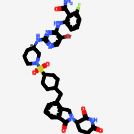 NC(=O)c1c(F)cccc1Nc1nc(N[C@@H]2CCCN(S(=O)(=O)C3CCC(Cc4cccc5c4CN(C4CCC(=O)NC4=O)C5=O)CC3)C2)ncc1Br